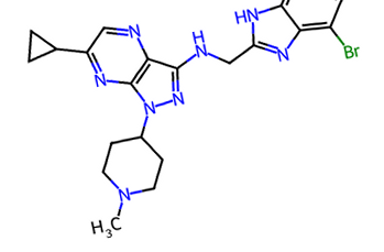 CN1CCC(n2nc(NCc3nc4c(Br)cccc4[nH]3)c3ncc(C4CC4)nc32)CC1